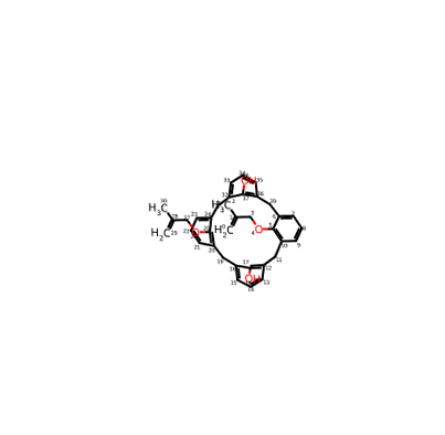 C=C(C)COc1c2cccc1Cc1cccc(c1O)Cc1cccc(c1OCC(=C)C)Cc1cccc(c1O)C2